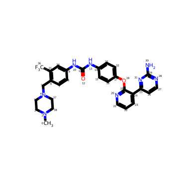 CN1CCN(Cc2ccc(NC(=O)Nc3ccc(Oc4ncccc4-c4ccnc(N)n4)cc3)cc2C(F)(F)F)CC1